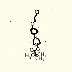 CC(C)(C)C(=O)ON1CCN(c2ccc(OCCCCl)cc2)CC1